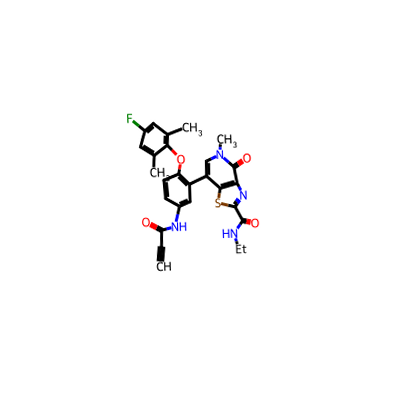 C#CC(=O)Nc1ccc(Oc2c(C)cc(F)cc2C)c(-c2cn(C)c(=O)c3nc(C(=O)NCC)sc23)c1